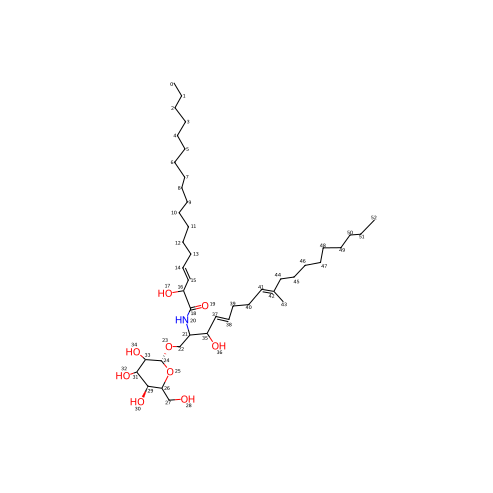 CCCCCCCCCCCCCC/C=C/C(O)C(=O)NC(CO[C@@H]1OC(CO)[C@@H](O)C(O)C1O)C(O)/C=C/CC/C=C(\C)CCCCCCCCC